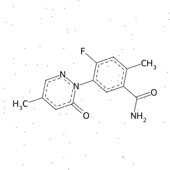 Cc1cnn(-c2cc(C(N)=O)c(C)cc2F)c(=O)c1